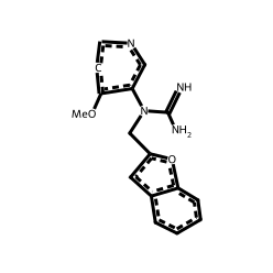 COc1ccncc1N(Cc1cc2ccccc2o1)C(=N)N